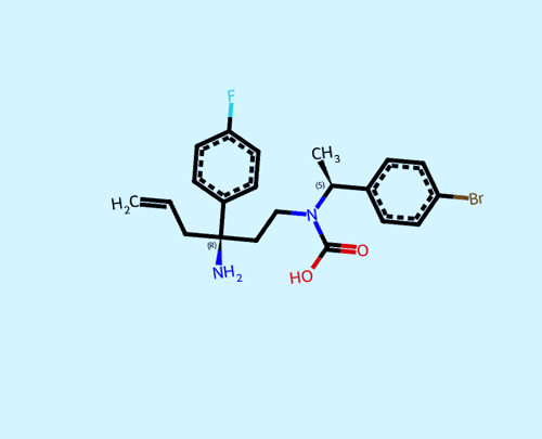 C=CC[C@@](N)(CCN(C(=O)O)[C@@H](C)c1ccc(Br)cc1)c1ccc(F)cc1